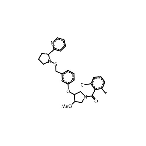 COC1CN(C(=O)c2c(F)cccc2Cl)CC1Oc1cccc(CSN2CCCC2c2ccccn2)c1